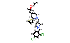 CCCOC(C)(C)CC1CCN(C[C@H]2CN(Cc3ccc(Cl)cc3Cl)C[C@@H]2c2ccsc2)CC1